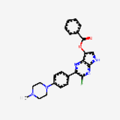 CN1CCN(c2ccc(-c3nc4c(OC(=O)c5ccccc5)c[nH]c4nc3F)cc2)CC1